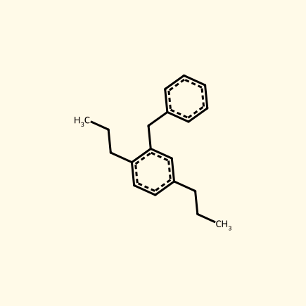 CCCc1ccc(CCC)c(Cc2ccccc2)c1